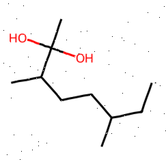 [CH2]CC(C)CCC(C)C(C)(O)O